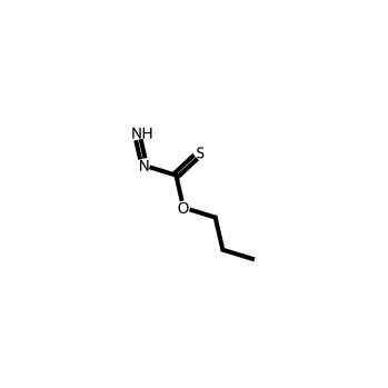 CCCOC(=S)N=N